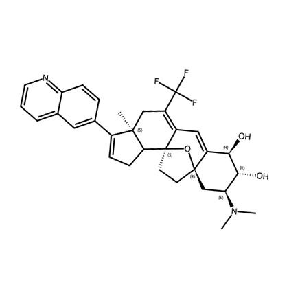 CN(C)[C@H]1C[C@@]23CC[C@@]4(O2)C(=C(C(F)(F)F)C[C@]2(C)C(c5ccc6ncccc6c5)=CCC24)C=C3[C@@H](O)[C@@H]1O